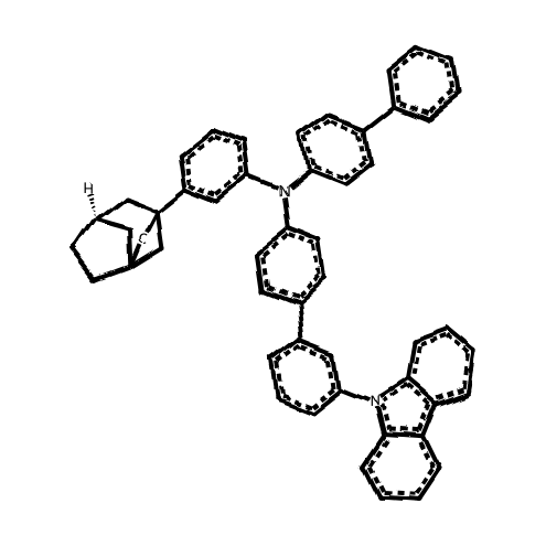 c1ccc(-c2ccc(N(c3ccc(-c4cccc(-n5c6ccccc6c6ccccc65)c4)cc3)c3cccc(C45C[C@@H]6CCC(C6)(C4)C5)c3)cc2)cc1